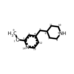 COc1cc(CC2CCNCC2)ccn1